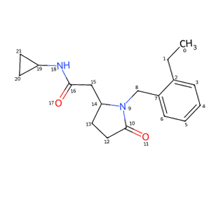 CCc1ccccc1CN1C(=O)CCC1CC(=O)NC1CC1